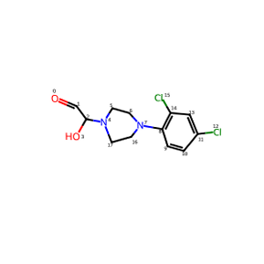 O=CC(O)N1CCN(c2ccc(Cl)cc2Cl)CC1